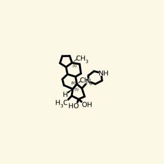 CC1[C@@H]2CCC3C4CCC[C@@]4(C)CCC3[C@@]2(C)C(N2CCNCC2)CC1(O)O